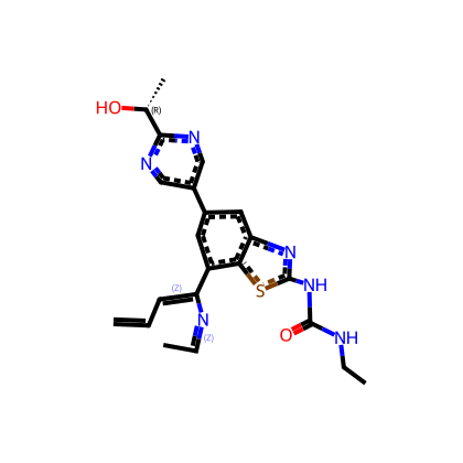 C=C/C=C(\N=C/C)c1cc(-c2cnc([C@@H](C)O)nc2)cc2nc(NC(=O)NCC)sc12